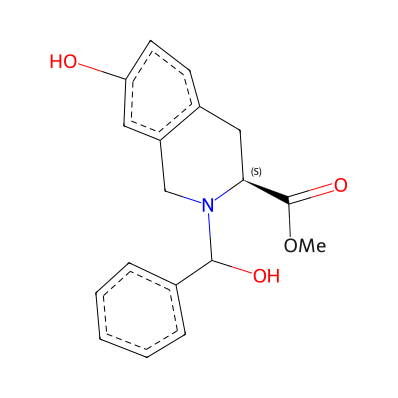 COC(=O)[C@@H]1Cc2ccc(O)cc2CN1C(O)c1ccccc1